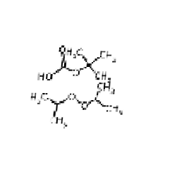 CC(C)(C)OC(=O)O.CC(C)OOC(C)C